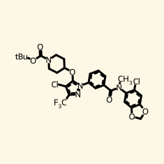 CN(C(=O)c1cccc(-n2nc(C(F)(F)F)c(Cl)c2OC2CCN(C(=O)OC(C)(C)C)CC2)c1)c1cc2c(cc1Cl)OCO2